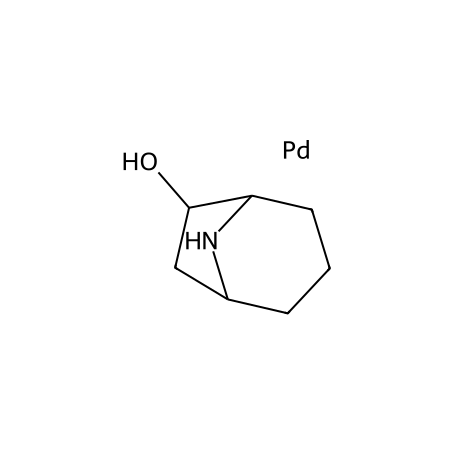 OC1CC2CCCC1N2.[Pd]